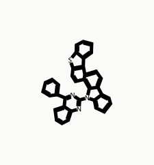 c1ccc(-c2nc(-n3c4ccccc4c4ccc5c(ccc6sc7ccccc7c65)c43)nc3ccccc23)cc1